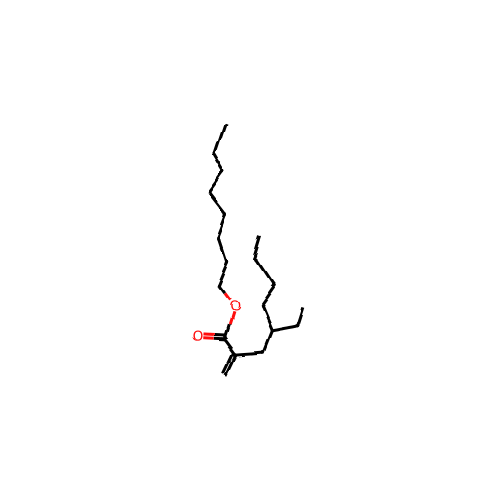 C=C(CC(CC)CCCC)C(=O)OCCCCCCCC